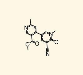 COC(=O)c1cnc(C)cc1-c1cc(C#N)c(=O)n(C)c1